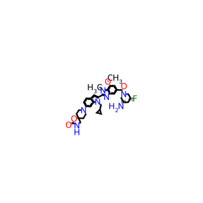 COc1cc(C(=O)N2C[C@H](N)C[C@@H](F)C2)cc2nc(-c3cc4ccc(N5CCC6(CC5)CNC(=O)O6)cc4n3CC3CC3)n(C)c12